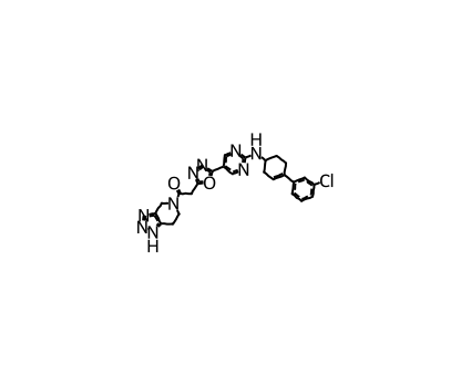 O=C(Cc1nnc(-c2cnc(NC3CC=C(c4cccc(Cl)c4)CC3)nc2)o1)N1CCc2[nH]nnc2C1